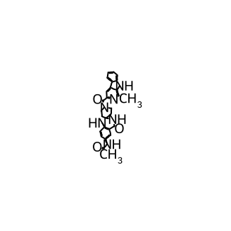 CC(=O)Nc1ccc2c(c1)C(=O)NC1(CCN(C(=O)c3cc4c([nH]c5ccccc54)c(C)n3)CC1)N2